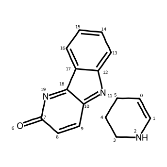 C1=CNCCC1.O=C1C=CC2=Nc3ccccc3C2=N1